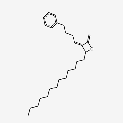 C=C1OC(CCCCCCCCCCCCC)/C1=C/CCCc1ccccc1